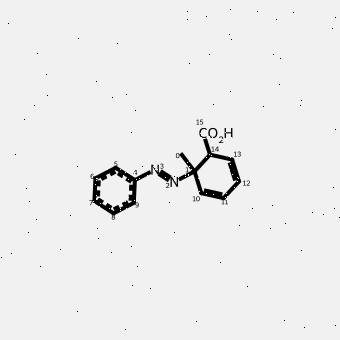 CC1(N=Nc2ccccc2)C=CC=CC1C(=O)O